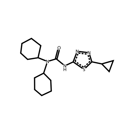 O=C(Nc1nnc(C2CC2)s1)N(C1CCCCC1)C1CCCCC1